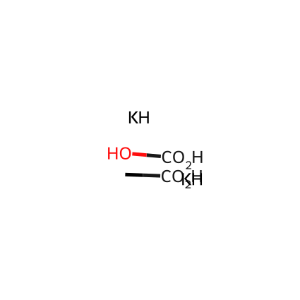 CC(=O)O.O=C(O)O.[KH].[KH]